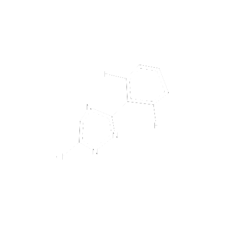 Fc1cccc(F)c1-c1ncc(Cl)nn1